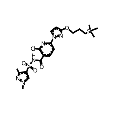 Cc1nn(C)cc1S(=O)(=O)NC(=O)c1ccc(-n2ccc(OCCC[Si](C)(C)C)n2)nc1Cl